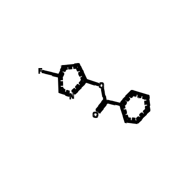 O=C(Oc1c[c]c(F)cn1)c1ccccc1